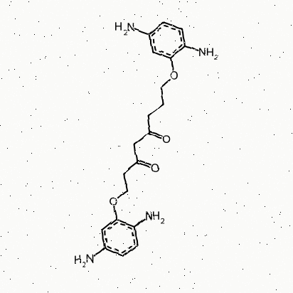 Nc1ccc(N)c(OCCCC(=O)CC(=O)CCOc2cc(N)ccc2N)c1